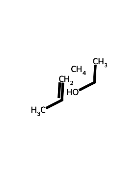 C.C=CC.CCO